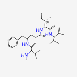 C=C(CCC(Cc1ccccc1)NC(=C)C(NC)C(C)C)NC(C(=C)NC(C(=C)C)C(C)C)[C@@H](C)CC